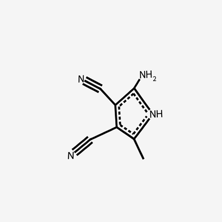 Cc1[nH]c(N)c(C#N)c1C#N